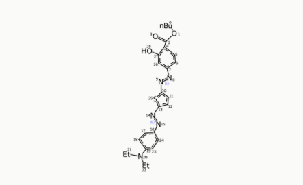 CCCCOC(=O)c1ccc(/N=N/c2ccc(/N=N/c3ccc(N(CC)CC)cc3)s2)cc1O